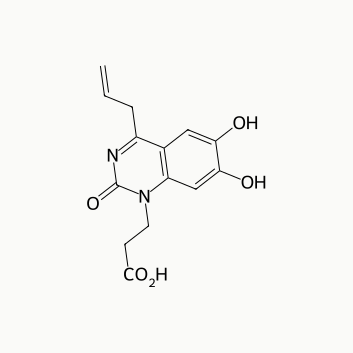 C=CCc1nc(=O)n(CCC(=O)O)c2cc(O)c(O)cc12